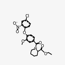 CCOC(=O)C1CCCCN1C(=O)c1ccc(Oc2ccc(Cl)cc2[N+](=O)[O-])c(OC)c1